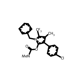 CNC(=O)Oc1c(-c2ccc(Cl)cc2)c(C)c(C(F)(F)F)n1Cc1ccccc1